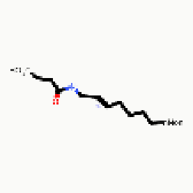 CCCCCCCCCCCCC/C=C/C[N]C(=O)CCC(=O)O